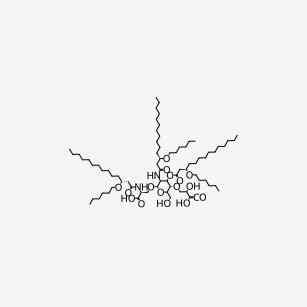 CCCCCCCCCCC[C@H](CC(=O)NC1C(OC(=O)C[C@@H](CCCCCCCCCCC)OCCCCCC)[C@H](OCC(O)C(O)=C=O)C(CO)O[C@H]1OC[C@H](NC(=O)C[C@@H](CCCCCCCCCCC)OCCCCCC)C(=O)O)OCCCCCC